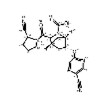 N#Cc1ccc(O[C@@H]2C[C@H]3C[C@@H]2N(C(=O)O)[C@@H]3C(=O)N2CCC[C@H]2C#N)nc1